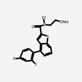 CCN(CCOC)C(=O)c1cc2c(-c3ccc(F)cc3F)cccc2s1